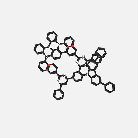 c1ccc(-c2ccc3c(c2)c2cc(-c4ccccc4)ccc2n3-c2ccc(-c3cc(-c4ccccc4)nc(-c4ccccc4)n3)cc2-c2nc(-c3ccccc3)nc(-c3cccc(-c4ccc5c6c4N(c4ccccc4)c4ccccc4B6c4ccccc4N5c4ccccc4)c3)n2)cc1